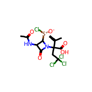 C=C(C)C(CC(Cl)(Cl)Cl)(C(=O)O)N1C(=O)C(NC(C)=O)C1[S+]([O-])Cl